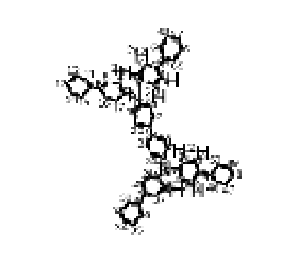 [2H]c1c([2H])c(N(c2ccc(-c3ccccc3)cc2)c2ccc(-c3ccc(N(c4ccc(-c5ccccc5)cc4)c4c([2H])c([2H])c(-c5ccccc5)c([2H])c4[2H])cc3)cc2)c([2H])c([2H])c1-c1ccccc1